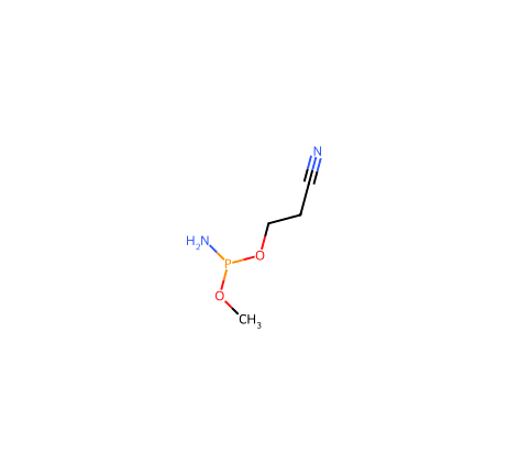 COP(N)OCCC#N